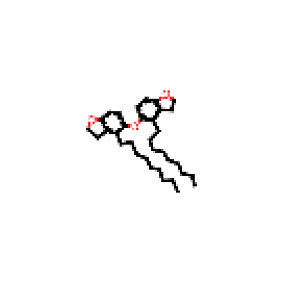 CCCCCCCCCc1c(Oc2ccc3c(c2CCCCCCCCC)CCO3)ccc2c1CCO2